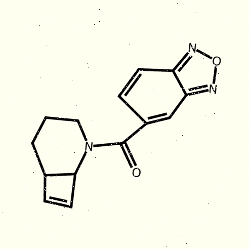 O=C(c1ccc2nonc2c1)N1CCCC2C=CC21